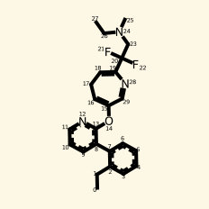 CCc1ccccc1-c1cccnc1OC1=CCC=C(C(F)(F)CN(C)CC)N=C1